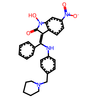 O=C1C(=C(Nc2ccc(CN3CCCCC3)cc2)c2ccccc2)c2ccc([N+](=O)[O-])cc2N1O